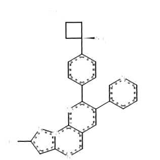 Cc1cc2ncc3cc(-c4cccnc4)c(-c4ccc([C@]5(N)C[C@H](O)C5)cc4)nc3n2n1